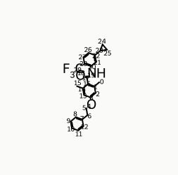 Cc1cc(OCCc2ccccc2)cc(C)c1C(=O)Nc1cc(C2CC2)ccc1C(F)(F)F